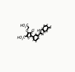 O=C(O)COc1c(C(=O)O)sc(-c2cccc(-c3nc4cc(F)ccc4[nH]3)c2)c1Cl